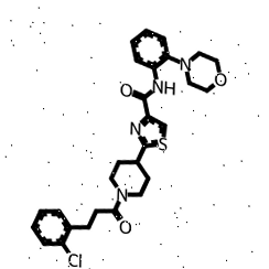 O=C(Nc1ccccc1N1CCOCC1)c1csc(C2CCN(C(=O)CCc3ccccc3Cl)CC2)n1